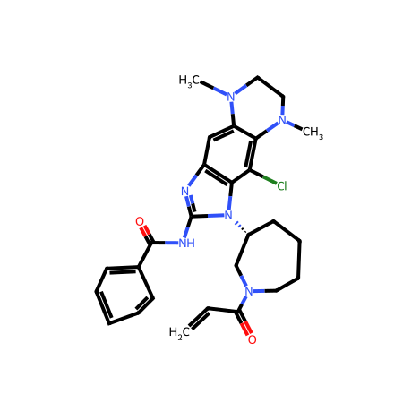 C=CC(=O)N1CCCC[C@@H](n2c(NC(=O)c3ccccc3)nc3cc4c(c(Cl)c32)N(C)CCN4C)C1